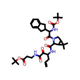 C=CCC(NC(=O)C1C2C(CN1C(=O)C(NC(=O)OC(C)(C)C)C1Cc3ccccc3C1)C2(C)C)C(=O)C(=O)NCCC(=O)OC(C)(C)C